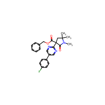 CN1C(=O)C(C(=O)OCc2ccccc2)(c2ncc(-c3ccc(F)cc3)cn2)CC1(C)C